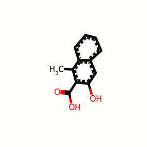 Cc1c(C(=O)O)c(O)cc2ccccc12